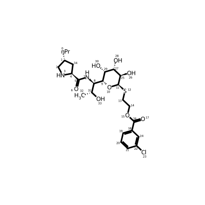 CCC[C@H]1CN[C@H](C(=O)N[C@@H]([C@H]2O[C@H](SCCOC(=O)c3cccc(Cl)c3)[C@H](O)[C@@H](O)[C@H]2O)[C@@H](C)O)C1